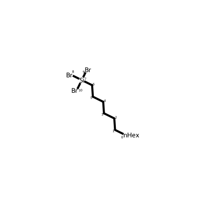 CCCCCCCCCCCC[Si](Br)(Br)Br